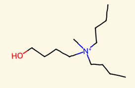 CCCC[N+](C)(CCCC)CCCCO